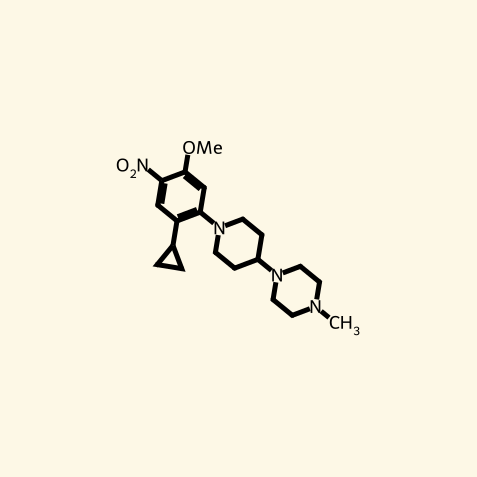 COc1cc(N2CCC(N3CCN(C)CC3)CC2)c(C2CC2)cc1[N+](=O)[O-]